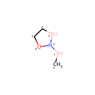 CBN1BCCO1